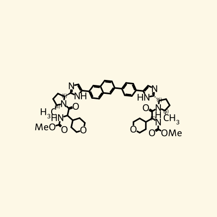 COC(=O)NC(C(=O)N1[C@@H](C)CC[C@H]1c1ncc(-c2ccc3cc(-c4ccc(-c5cnc([C@@H]6CC[C@H](C)N6C(=O)[C@@H](NC(=O)OC)C6CCOCC6)[nH]5)cc4)ccc3c2)[nH]1)C1CCOCC1